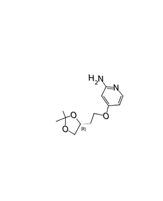 CC1(C)OC[C@@H](CCOc2ccnc(N)c2)O1